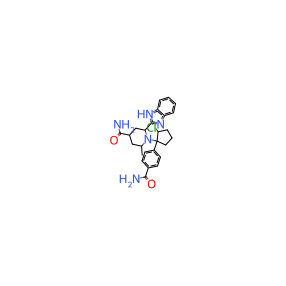 CC1CC(C(N)=O)CC(c2nc3ccccc3[nH]2)N1C1(c2ccc(C(N)=O)cc2)CCCC1Cl